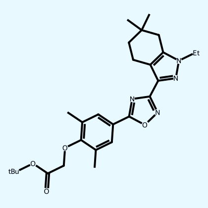 CCn1nc(-c2noc(-c3cc(C)c(OCC(=O)OC(C)(C)C)c(C)c3)n2)c2c1CC(C)(C)CC2